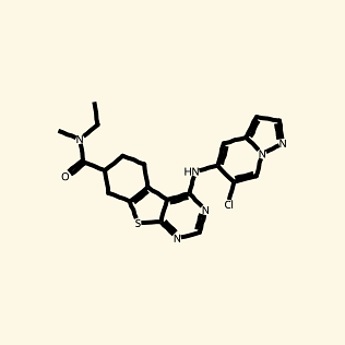 CCN(C)C(=O)C1CCc2c(sc3ncnc(Nc4cc5ccnn5cc4Cl)c23)C1